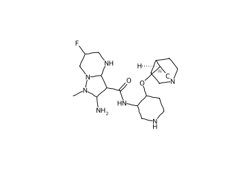 CN1C(N)C(C(=O)NC2CNCCC2O[C@@H]2CN3CCC2CC3)C2NCC(F)CN21